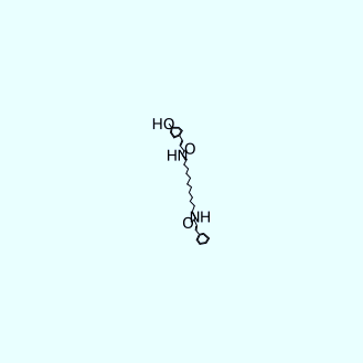 O=C(C=Cc1ccccc1)NCCCCCCCCCCCCNC(=O)/C=C/c1ccc(O)cc1